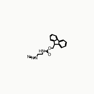 [N-]=[N+]=NCCNC(=O)OCC1c2ccccc2-c2ccccc21